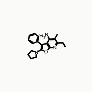 CCc1nc2oc(N3CCCC3)c(-c3ccccc3)c2c(N)c1C